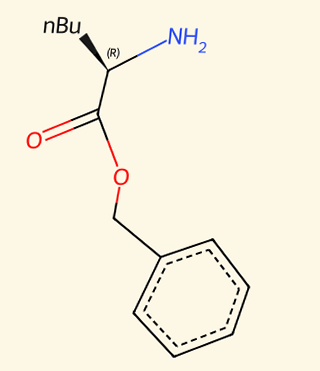 CCCC[C@@H](N)C(=O)OCc1ccccc1